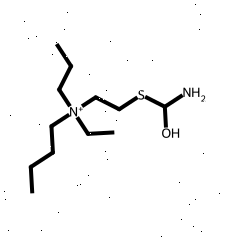 CCCC[N+](CC)(CCC)CCSC(N)O